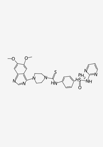 COc1cc2ncnc(N3CCN(C(=S)Nc4ccc([SH](=O)(P)Nc5ncccn5)cc4)CC3)c2cc1OC